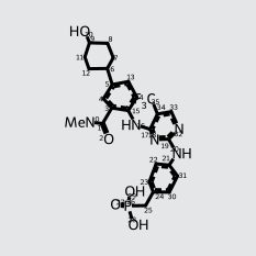 CNC(=O)c1cc(C2CCC(O)CC2)ccc1Nc1nc(Nc2ccc(CP(=O)(O)O)cc2)ncc1C(F)(F)F